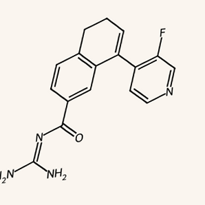 NC(N)=NC(=O)c1ccc2c(c1)C(c1ccncc1F)=CCC2